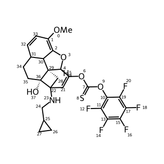 COC1=C2O[C@H]3C(OC(=S)Oc4c(F)c(F)c(F)c(F)c4F)=CC4(NCC5CC5)C[C@]35C2C(C=C1)CC[C@]45O